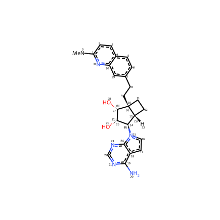 CNc1ccc2ccc(CC[C@@]34CC[C@@H]3[C@@H](n3ccc5c(N)ncnc53)[C@H](O)[C@@H]4O)cc2n1